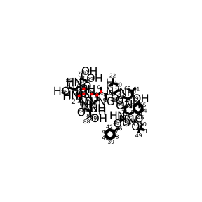 CC[C@H](C)[C@H](NC(=O)[C@@H](CCCNC(=N)N)NC(=O)[C@H](CC(C)C)NC(=O)[C@@H](NC(=O)[C@@H](NC(=O)OCc1ccccc1)[C@H](NC(=O)OC(C)(C)C)c1ccccc1)[C@H](O)C(C)C)C(=O)N[C@H](C(=O)NCC(=O)N[C@H](C(=O)N[C@@H](CO)C(=O)O)[C@H](C)O)[C@H](C)O